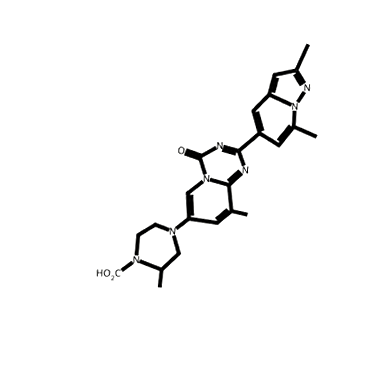 Cc1cc2cc(-c3nc(=O)n4cc(N5CCN(C(=O)O)C(C)C5)cc(C)c4n3)cc(C)n2n1